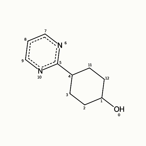 OC1CCC(c2ncccn2)CC1